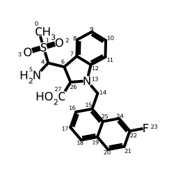 CS(=O)(=O)C(N)C1c2ccccc2N(Cc2cccc3ccc(F)cc23)C1C(=O)O